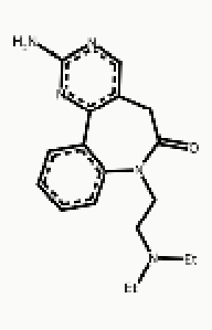 CCN(CC)CCN1C(=O)Cc2cnc(N)nc2-c2ccccc21